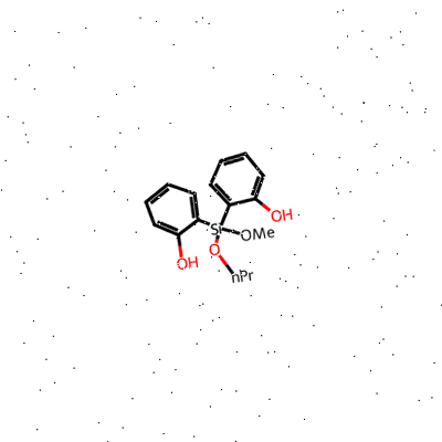 CCCO[Si](OC)(c1ccccc1O)c1ccccc1O